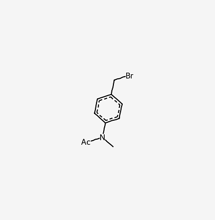 CC(=O)N(C)c1ccc(CBr)cc1